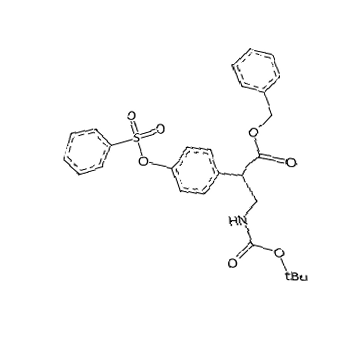 CC(C)(C)OC(=O)NCC(C(=O)OCc1ccccc1)c1ccc(OS(=O)(=O)c2ccccc2)cc1